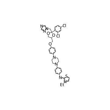 CCn1ccs/c1=N\c1ccc(N2CCN(c3ccc(OCC4COC(Cn5cncn5)(c5ccc(Cl)cc5Cl)O4)cc3)CC2)cc1